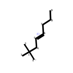 [CH2]C(C)(C)C/C=C/CCC